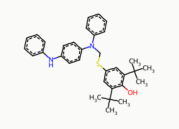 CC(C)(C)c1cc(SCN(c2ccccc2)c2ccc(Nc3ccccc3)cc2)cc(C(C)(C)C)c1O